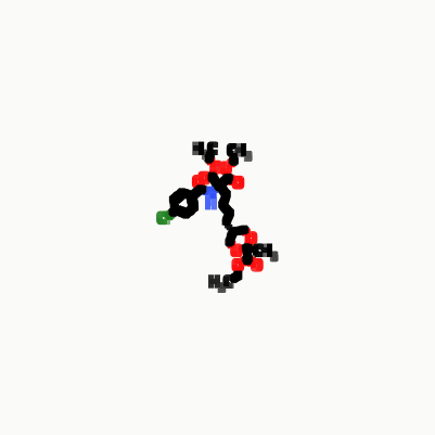 CCOC(=O)C(CCCC[C@H]1CO[C@@](C)(C(=O)OCC)OC1)(NC(=O)c1ccc(Cl)cc1)C(=O)OCC